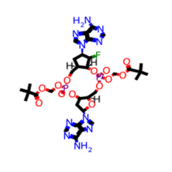 CC(C)(C)C(=O)OCOP1(=O)OC[C@H]2C[C@@H](n3cnc4c(N)ncnc43)C(F)[C@H]2OP(=O)(OCOC(=O)C(C)(C)C)OC[C@H]2O[C@@H](n3cnc4c(N)ncnc43)CC2O1